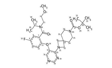 COCCN(C(=O)c1cc(F)ccc1Oc1cncnc1N1CC2(CCN(C(=O)OC(C)(C)C)CC2)C1)C(C)C